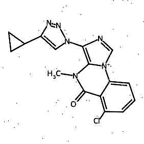 CN1C(=O)c2c(Cl)cccc2[N+]2C=NC(n3cc(C4CC4)nn3)=C12